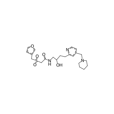 O=C(CS(=O)(=O)Cc1ccoc1)NCC(O)CCc1cc(CN2CCCCC2)ccn1